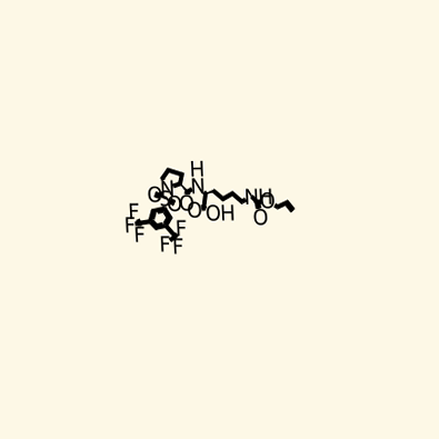 C=CCOC(=O)NCCCC[C@H](NC(=O)[C@@H]1CCCN1S(=O)(=O)c1cc(C(F)(F)F)cc(C(F)(F)F)c1)C(=O)O